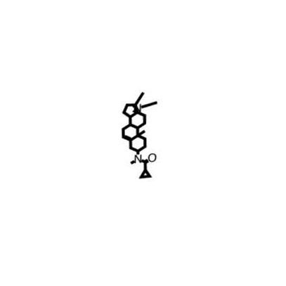 CC1C2CCC3C4CC=C5CC(N(C)C(=O)C6CC6)CCC5(C)C4CCC32CN1C